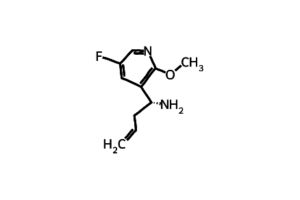 C=CC[C@@H](N)c1cc(F)cnc1OC